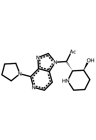 CC(=O)C([C@H]1NCCC[C@@H]1O)n1cnc2c(N3CCCC3)nccc21